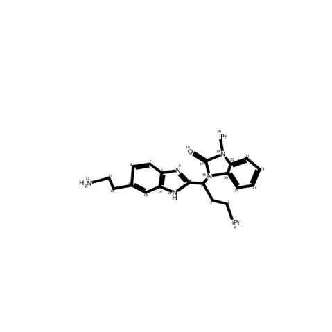 CC(C)CCC(c1nc2ccc(CCN)cc2[nH]1)n1c(=O)n(C(C)C)c2ccccc21